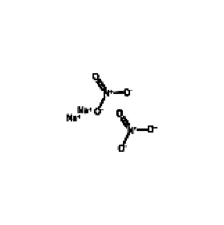 O=[N+]([O-])[O-].O=[N+]([O-])[O-].[Na+].[Na+]